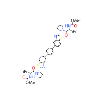 COC(=O)N[C@H](C(=O)N1CCC[C@H]1c1nc2cc(-c3ccc(-c4ccc5sc([C@@H]6CCCN6C(=O)[C@@H](NC(=O)OC)C(C)C)nc5c4)cc3)ccc2s1)C(C)C